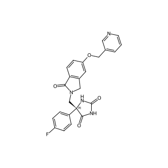 O=C1NC(=O)[C@](CN2Cc3cc(OCc4cccnc4)ccc3C2=O)(c2ccc(F)cc2)N1